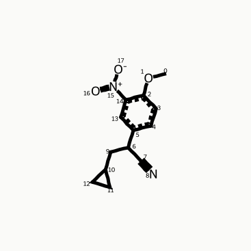 COc1ccc(C(C#N)CC2CC2)cc1[N+](=O)[O-]